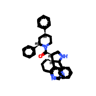 O=C([C@@H]1CNC(c2ccccc2)[C@]12CCCc1ncncc12)N1CC[C@@H](c2ccccc2)C[C@H]1c1ccccc1